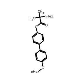 CCCCCCOc1ccc(-c2ccc(OC(=O)C(C)(CCCCCC)C(F)(F)F)cc2)cc1